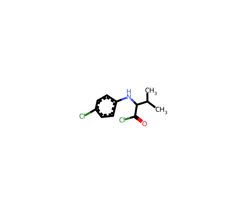 CC(C)C(Nc1ccc(Cl)cc1)C(=O)Cl